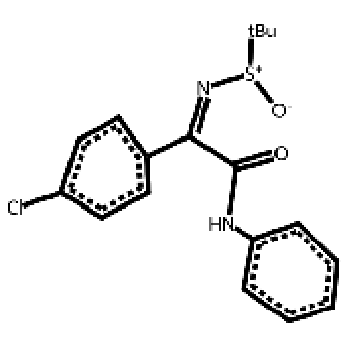 CC(C)(C)[S+]([O-])/N=C(\C(=O)Nc1ccccc1)c1ccc(Cl)cc1